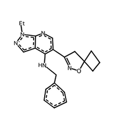 CCn1ncc2c(NCc3ccccc3)c(C3=NOC4(CCC4)C3)cnc21